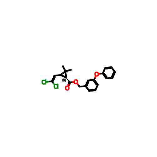 CC1(C)C(C=C(Cl)Cl)[C@H]1C(=O)OCc1cccc(Oc2ccccc2)c1